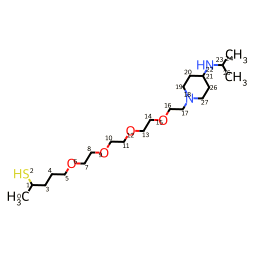 CC(S)CCCOCCOCCOCCOCCN1CCC(NC(C)C)CC1